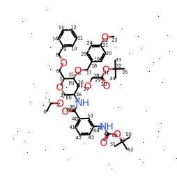 CCO[C@@H]1OC(COCc2ccccc2)[C@@H](OCc2ccc(OC)cc2)[C@H](OCC(=O)OC(C)(C)C)C1NC(=O)c1cccc(NC(=O)OC(C)(C)C)c1